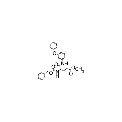 COC(=O)CCC(NC(=O)OCc1ccccc1)C(=O)Nc1cccc(Oc2ccccc2)c1